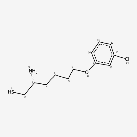 N[C@@H](CS)CCCCOc1cccc(Cl)c1